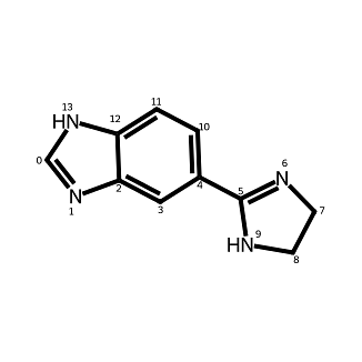 c1nc2cc(C3=NCCN3)ccc2[nH]1